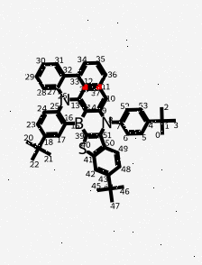 CC(C)(C)c1ccc(N2c3cccc4c3B(c3cc(C(C)(C)C)ccc3N4c3ccccc3-c3ccccc3)c3sc4cc(C(C)(C)C)ccc4c32)cc1